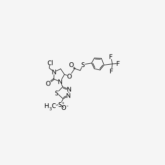 C[S+]([O-])c1nnc(N2C(=O)N(CCl)CC2OC(=O)CSc2ccc(C(F)(F)F)cc2)s1